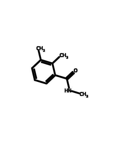 CNC(=O)c1cccc(C)c1C